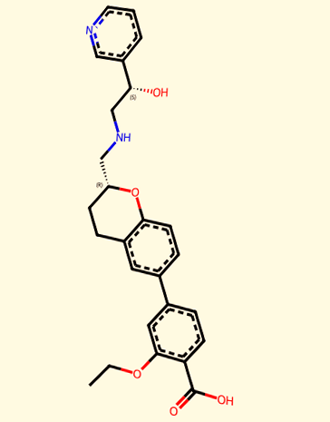 CCOc1cc(-c2ccc3c(c2)CC[C@H](CNC[C@@H](O)c2cccnc2)O3)ccc1C(=O)O